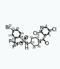 O=C(c1cc(Cl)cnc1Cl)N1CCC(NS(=O)(=O)c2ccc(Br)cc2C(F)(F)F)CC1